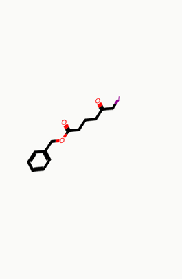 O=C(CI)CCCC(=O)OCc1ccccc1